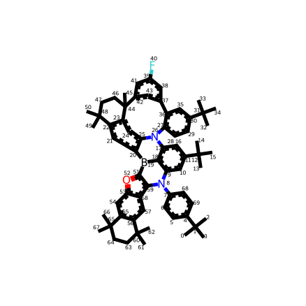 CC(C)(C)c1ccc(N2c3cc(C(C)(C)C)cc4c3B(c3cc5c6cc3N4c3ccc(C(C)(C)C)cc3-c3cc(F)cc(c3)C6(C)CCC5(C)C)c3oc4cc5c(cc4c32)C(C)(C)CCC5(C)C)cc1